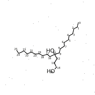 CCCCCCCCCCC(O)(CCCO)CCCCCCCCCC